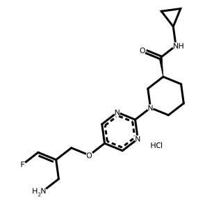 Cl.NC/C(=C\F)COc1cnc(N2CCC[C@H](C(=O)NC3CC3)C2)nc1